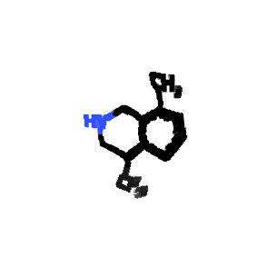 Cc1cccc2c1CNCC2C(F)(F)F